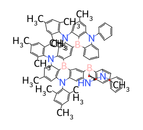 Cc1cc(C)c(N2c3cc4c(cc3B3c5ccccc5N(c5ccccc5)c5cc(C)cc2c53)B2c3cc5c(cc3N(c3c(C)cc(C)cc3C)c3cc(C)cc(c32)N4c2c(C)cc(C)cc2C)Nc2cc(C)cc3c2B5c2ccccc2N3c2ccccc2)c(C)c1